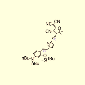 [C-]#[N+]C1=C(/C=C/c2ccc(/C=C/c3ccc(N(CCCC)CCCC)cc3O[Si](C)(C)C(C)(C)C)s2)C(C)(C)OC1=C(C#N)C#N